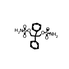 NS(=O)(=O)OCC(COS(N)(=O)=O)(c1ccccc1)c1ccccc1